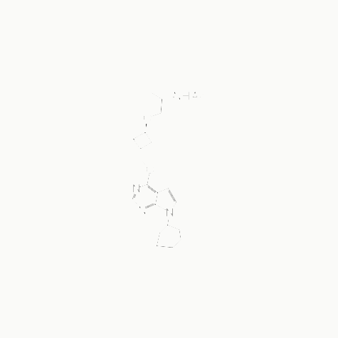 CC(=O)N[C@@H](C)CO[C@H]1C[C@H](COc2ncnc3c2ccn3C2CCCCC2)C1